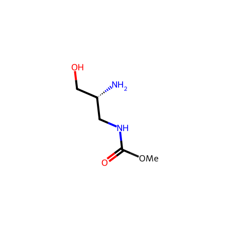 COC(=O)NC[C@@H](N)CO